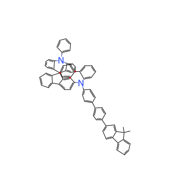 CC1(C)c2ccccc2-c2ccc(-c3ccc(-c4ccc(N(c5ccc6c(c5)C5(c7ccccc7-6)c6ccccc6N(c6ccccc6)c6ccccc65)c5ccccc5-c5ccccc5)cc4)cc3)cc21